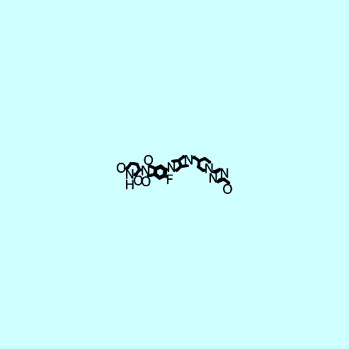 O=Cc1cnc(N2CCC(CN3CC4CN(c5cc6c(cc5F)C(=O)N(C5CCC(=O)NC5=O)C6=O)CC4C3)CC2)cn1